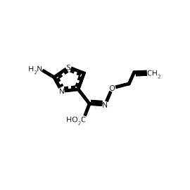 C=CCO/N=C(/C(=O)O)c1csc(N)n1